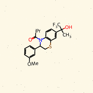 COc1cccc(C2CSc3cc(C(C)(O)C(F)(F)F)ccc3N2C(=O)C(C)C)c1